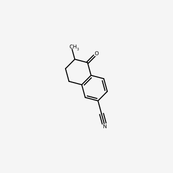 CC1CCc2cc(C#N)ccc2C1=O